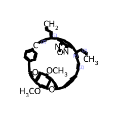 C=C/C=C1\C=C/Cc2ccc(cc2)-c2cc3c(OC)c4oc(cc4c(OC)c3o2)-c2ccc(cc2)\C=C/C=C(\C=C/C)c2ccc1c1nonc21